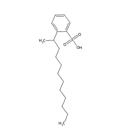 CCCCCCCCCCC(C)c1ccccc1S(=O)(=O)O